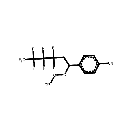 CC(C)(C)OOC(CC(F)(F)C(F)(F)C(F)(F)C(F)(F)F)c1ccc(C#N)cc1